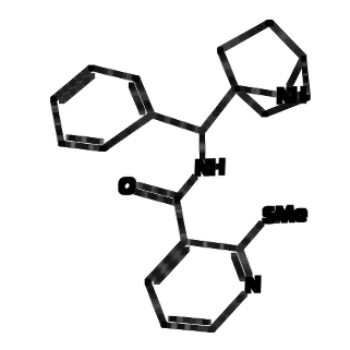 CSc1ncccc1C(=O)NC(c1ccccc1)C12CCC(CC1)N2